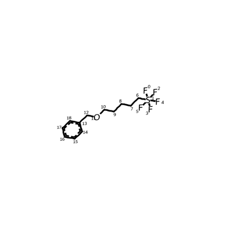 FS(F)(F)(F)(F)CCCCCOCc1ccccc1